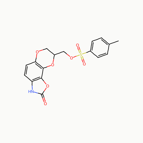 Cc1ccc(S(=O)(=O)OCC2COc3ccc4[nH]c(=O)oc4c3O2)cc1